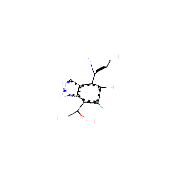 C/C=C(\N)c1c(C)c(F)c(C(O)C(F)(F)F)c2[nH]ncc12